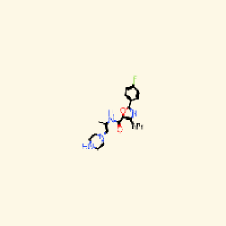 CCCc1nc(-c2ccc(F)cc2)oc1C(=O)N[C@H](C)CN1CCNCC1